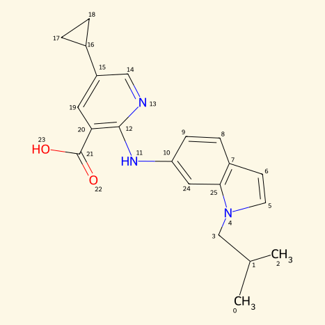 CC(C)Cn1ccc2ccc(Nc3ncc(C4CC4)cc3C(=O)O)cc21